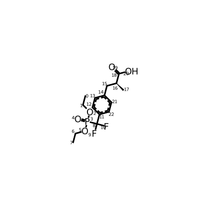 CCOP(=O)(OCC)C(F)(F)c1ccc(C[C@H](C)C(=O)O)cc1